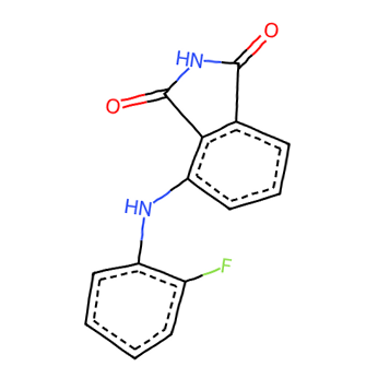 O=C1NC(=O)c2c(Nc3ccccc3F)cccc21